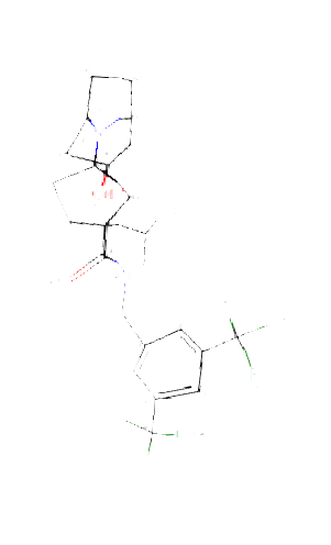 CC(C)C1(C(=O)NCc2cc(C(F)(F)F)cc(C(F)(F)F)c2)CCC(N2C3CCC2CC(O)C3)C1